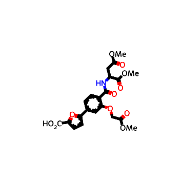 COC(=O)COc1cc(-c2ccc(C(=O)O)o2)ccc1C(=O)NC(CC(=O)OC)C(=O)OC